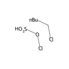 CCCCCCl.O=S(=O)(O)OCl